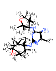 Cc1nc(NC2(C)C(C)(C)C(C)(C)C(C)(O)C(C)(C)C2(C)C)nc(NC2(C)C(C)(C)OC(C)(C)C2(C)C)c1N